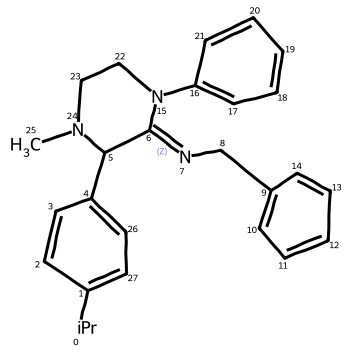 CC(C)c1ccc(C2/C(=N/Cc3ccccc3)N(c3ccccc3)CCN2C)cc1